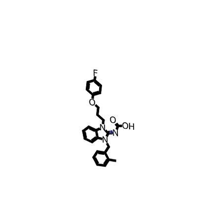 Cc1ccccc1Cn1/c(=N/C(=O)O)n(CCCOc2ccc(F)cc2)c2ccccc21